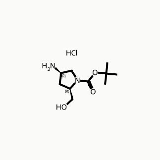 CC(C)(C)OC(=O)N1C[C@H](N)C[C@@H]1CO.Cl